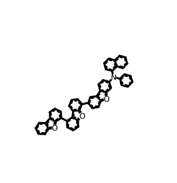 c1ccc(N(c2ccc3c(c2)oc2ccc(-c4cccc5c4oc4cccc(-c6cccc7c6oc6ccccc67)c45)cc23)c2cccc3ccccc23)cc1